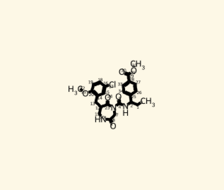 CCC(NC(=O)N1CC(=O)NCC(Cc2cc(Cl)ccc2OC)C1=O)c1ccc(C(=O)OC)cc1